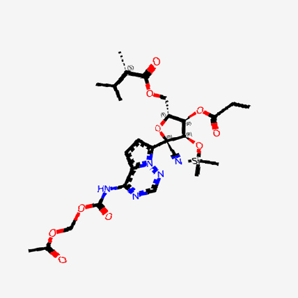 CCC(=O)O[C@H]1[C@@H](O[Si](C)(C)C)[C@](C#N)(c2ccc3c(NC(=O)OCOC(C)=O)ncnn23)O[C@@H]1COC(=O)[C@@H](C)C(C)C